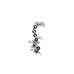 COc1cc(N2CCC(N3CCN(CC4CCN(C(=O)OC(C)(C)C)CC4)CC3)CC2)c(C)cc1Nc1ncc(Cl)c(Nc2ccccc2N(C)S(C)(=O)=O)n1